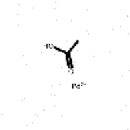 CC(=O)O.[Pd+2]